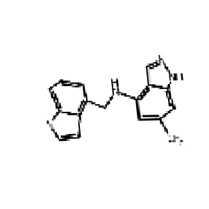 FC(F)(F)c1cc(NCc2cccc3sccc23)c2cn[nH]c2c1